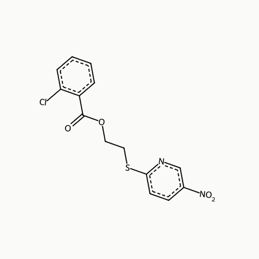 O=C(OCCSc1ccc([N+](=O)[O-])cn1)c1ccccc1Cl